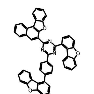 c1ccc2c(c1)cc(-c1nc(-c3ccc(-c4cccc5oc6ccccc6c45)cc3)nc(-c3cccc4oc5ccccc5c34)n1)c1oc3ccccc3c12